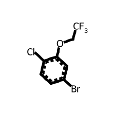 FC(F)(F)COc1cc(Br)ccc1Cl